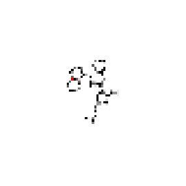 CC(C)CCNC[C@H](O)[C@H](Cc1ccccc1)N(Cc1ccccc1)Cc1ccccc1